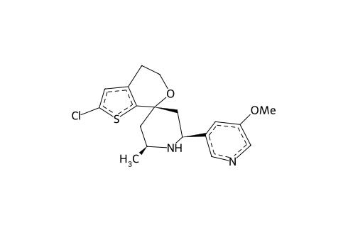 COc1cncc([C@@H]2C[C@]3(C[C@H](C)N2)OCCc2cc(Cl)sc23)c1